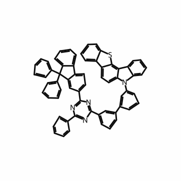 c1ccc(-c2nc(-c3cccc(-c4cccc(-n5c6ccccc6c6c7sc8ccccc8c7ccc65)c4)c3)nc(-c3ccc4c(c3)C(c3ccccc3)(c3ccccc3)c3ccccc3-4)n2)cc1